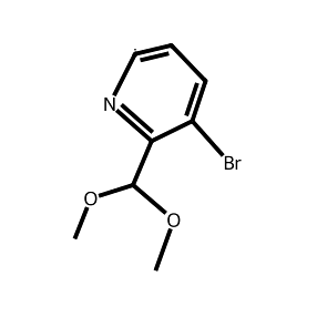 COC(OC)c1n[c]ccc1Br